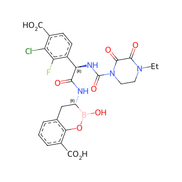 CCN1CCN(C(=O)N[C@@H](C(=O)N[C@H]2Cc3cccc(C(=O)O)c3OB2O)c2ccc(C(=O)O)c(Cl)c2F)C(=O)C1=O